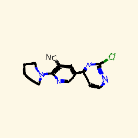 N#Cc1cc(-c2ccnc(Cl)n2)cnc1N1CCCC1